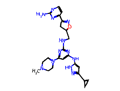 CN1CCN(c2cc(Nc3cc(C4CC4)n[nH]3)nc(NCC3CC(c4ccnc(N)n4)=NO3)n2)CC1